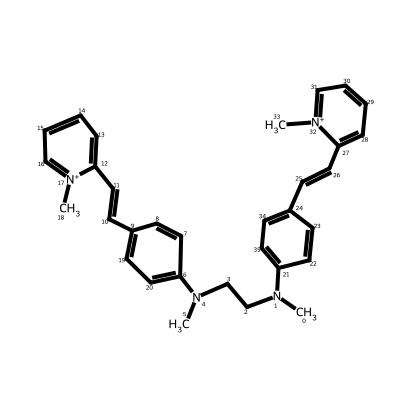 CN(CCN(C)c1ccc(/C=C/c2cccc[n+]2C)cc1)c1ccc(/C=C/c2cccc[n+]2C)cc1